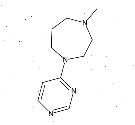 CN1CCCN(c2ccncn2)CC1